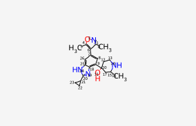 Cc1noc(C)c1-c1cc(C2(O)CCNC(C)C2)c2nc(C3CC3)[nH]c2c1